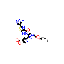 CCOCCn1cc(NC(=O)c2csc(-c3cn[nH]c3)n2)c(-c2ccccn2)n1.O=CO